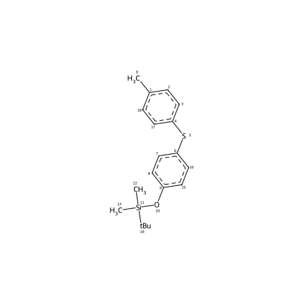 Cc1ccc(Sc2ccc(O[Si](C)(C)C(C)(C)C)cc2)cc1